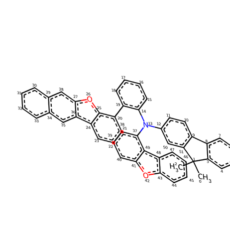 CC1(C)c2ccccc2-c2ccc(N(c3ccccc3-c3cccc4c3oc3cc5ccccc5cc34)c3cccc4oc5ccccc5c34)cc21